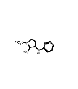 CC(C)(C)C1[C@H](Nc2cccnn2)CCN1C(=O)O